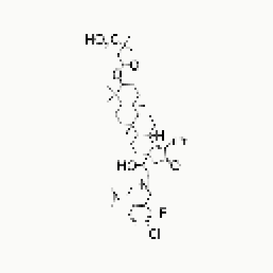 CC(C)C1=C2[C@H]3CCC4[C@@]5(C)CC[C@H](OC(=O)CC(C)(C)C(=O)O)C(C)(C)C5CC[C@@]4(C)[C@]3(C)CC[C@@]2([C@H](O)CN(CCN(C)C)Cc2cccc(Cl)c2F)CC1=O